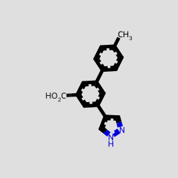 Cc1ccc(-c2cc(C(=O)O)cc(-c3cn[nH]c3)c2)cc1